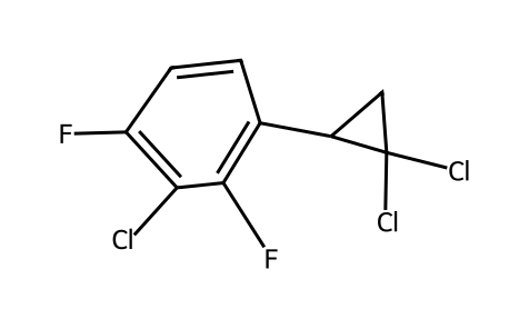 Fc1ccc(C2CC2(Cl)Cl)c(F)c1Cl